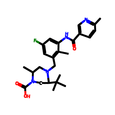 Cc1ccc(C(=O)Nc2cc(F)cc(CN3CC(C)N(C(=O)O)CC3C(C)(C)C)c2C)cn1